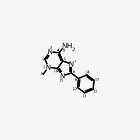 Cn1cnc(N)c2nc(-c3ccccc3)nc1-2